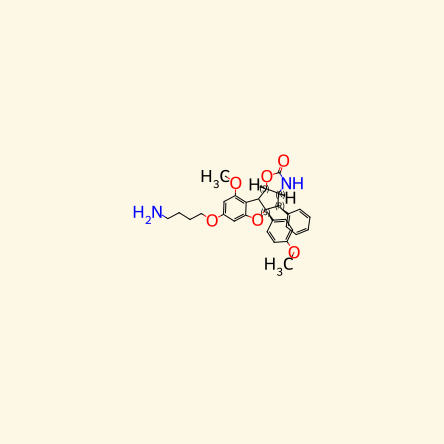 COc1ccc([C@@]23Oc4cc(OCCCCN)cc(OC)c4C2[C@@H]2OC(=O)N[C@@H]2[C@H]3c2ccccc2)cc1